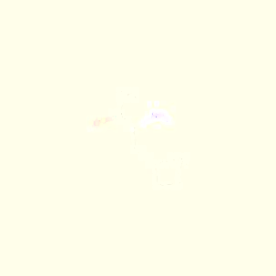 CC(=O)C(N)CC1CCC1